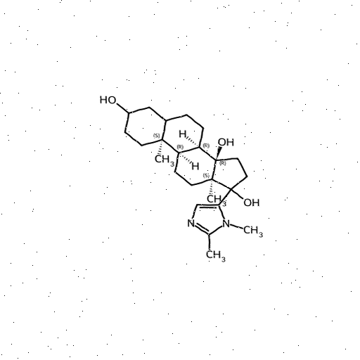 Cc1ncc(C2(O)CC[C@@]3(O)[C@@H]4CCC5CC(O)CC[C@]5(C)[C@@H]4CC[C@]23C)n1C